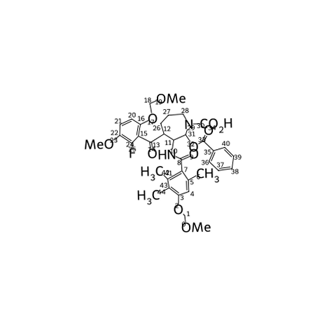 COCOc1cc(C)c(C(=O)NC2C(C(=O)c3c(OCOC)ccc(OC)c3F)CCCN(C(=O)O)C2OC(=O)c2ccccc2)c(C)c1C